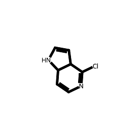 ClC1=NC=CC2NC=CC12